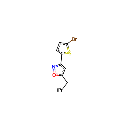 CC(C)Cc1cc(-c2ccc(Br)s2)no1